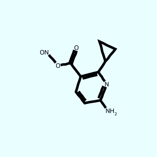 Nc1ccc(C(=O)ON=O)c(C2CC2)n1